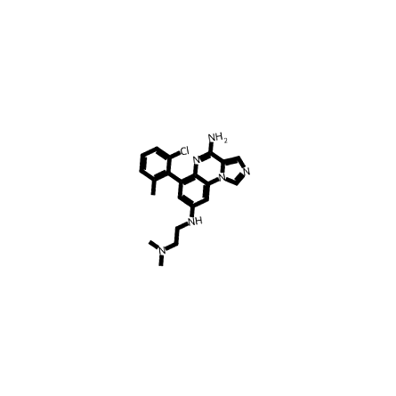 Cc1cccc(Cl)c1-c1cc(NCCN(C)C)cc2c1nc(N)c1cncn12